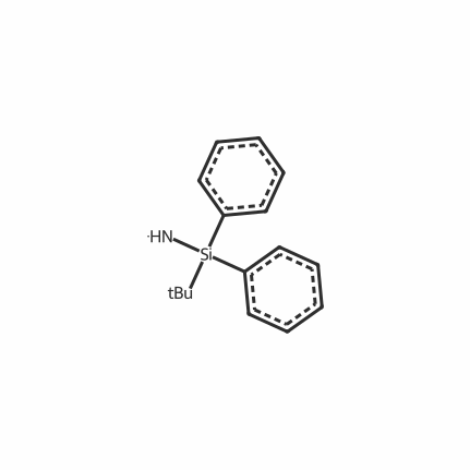 CC(C)(C)[Si]([NH])(c1ccccc1)c1ccccc1